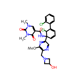 COc1nc(C2(NC(=O)c3cn(C)c(=O)n(C)c3=O)C=CC=C(c3ccccc3Cl)C2Cl)cnc1CN1CC(O)C1